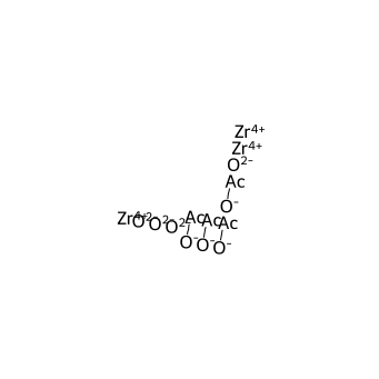 CC(=O)[O-].CC(=O)[O-].CC(=O)[O-].CC(=O)[O-].[O-2].[O-2].[O-2].[O-2].[Zr+4].[Zr+4].[Zr+4]